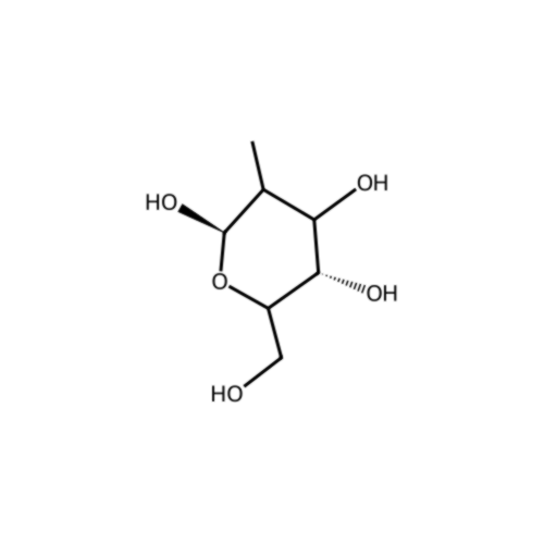 CC1C(O)[C@H](O)C(CO)O[C@H]1O